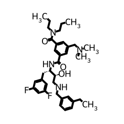 CCCN(CCC)C(=O)c1cc(CN(C)C)cc(C(=O)N[C@@H](Cc2cc(F)cc(F)c2)[C@H](O)CNCc2cccc(CC)c2)c1